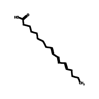 CCCCC=CC=C/C=C/CCCCCCCC(=O)O